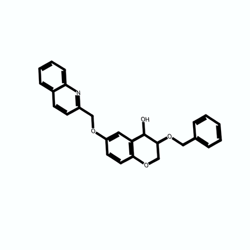 OC1c2cc(OCc3ccc4ccccc4n3)ccc2OCC1OCc1ccccc1